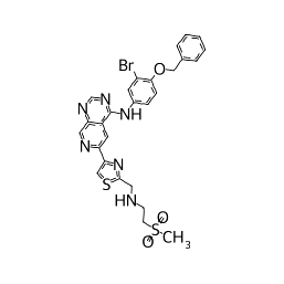 CS(=O)(=O)CCNCc1nc(-c2cc3c(Nc4ccc(OCc5ccccc5)c(Br)c4)ncnc3cn2)cs1